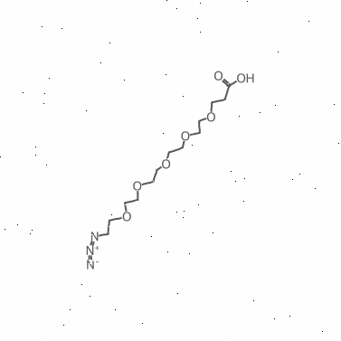 [N-]=[N+]=NCCOCCOCCOCCOCCOCCC(=O)O